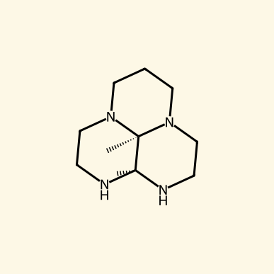 C[C@]12NCCN3CCCN(CCN1)[C@@]32C